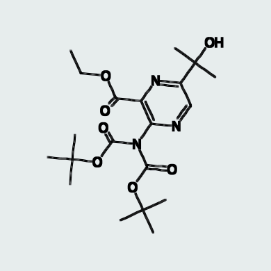 CCOC(=O)c1nc(C(C)(C)O)cnc1N(C(=O)OC(C)(C)C)C(=O)OC(C)(C)C